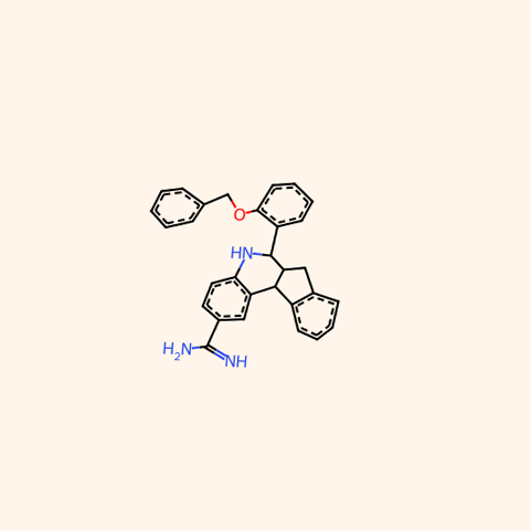 N=C(N)c1ccc2c(c1)C1c3ccccc3CC1C(c1ccccc1OCc1ccccc1)N2